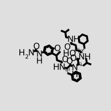 CC(C)CNC(=O)C[C@H](O)[C@H](CC1CCCCC1)NC(=O)[C@H](CC(C)C)NC(=O)[C@H](Cc1ccccc1)NC(=O)CC1COc2ccc(NC(N)=O)cc21